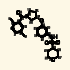 Cc1ccc(C)c(C(=O)N2CC[C@H](Oc3cccc(NS(=O)(=O)C4CCOCC4)c3)C2)c1